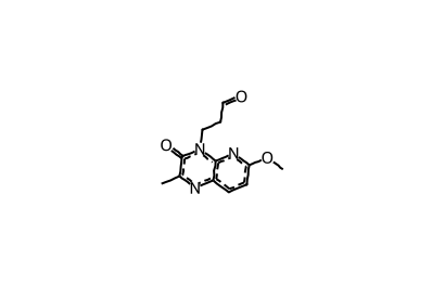 COc1ccc2nc(C)c(=O)n(CCC=O)c2n1